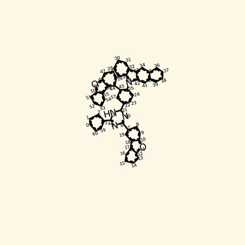 c1ccc(C2=NC(c3ccc4oc5ccccc5c4c3)=NC(c3ccc(-n4c5ccccc5c5cc6ccccc6cc54)c(-c4cccc5oc6ccccc6c45)c3)N2)cc1